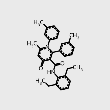 CCc1cccc(CC)c1NC(=O)c1c(-c2cccc(C)c2)n(-c2cccc(C)c2)c(C)cc1=O